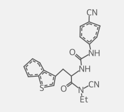 CCN(C#N)C(=O)C(Cc1csc2ccccc12)NC(=O)Nc1ccc(C#N)cc1